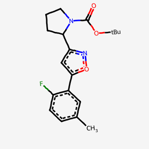 Cc1ccc(F)c(-c2cc(C3CCCN3C(=O)OC(C)(C)C)no2)c1